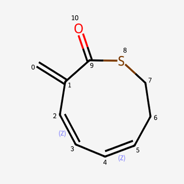 C=C1/C=C\C=C/CCSC1=O